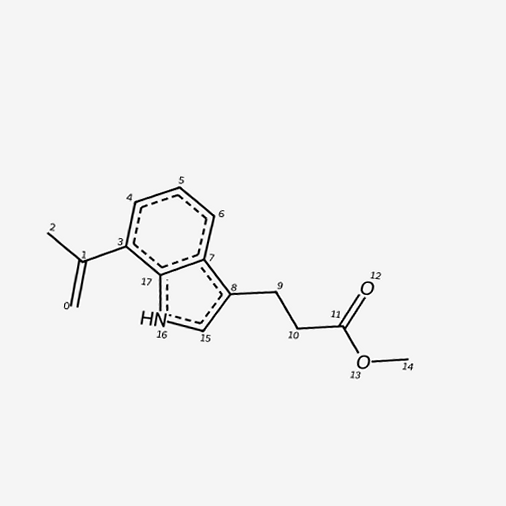 C=C(C)c1cccc2c(CCC(=O)OC)c[nH]c12